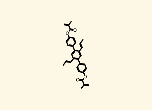 C=C(C)C(=O)Oc1ccc(-c2cc(/C=C/C)c(-c3ccc(OC(=O)C(=C)C)cc3)cc2/C=C/C)cc1